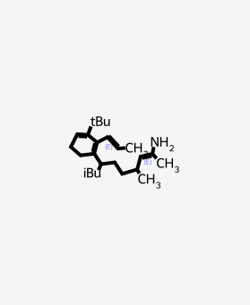 C/C=C/C1=C(C(CCC(C)/C=C(\C)N)C(C)CC)CCC=C1C(C)(C)C